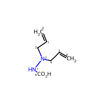 C=CCN(CC=C)NC(=O)O